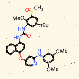 COc1cc(Nc2cc(Oc3ccc(NC(=O)Nc4cc(C(C)(C)C)cc([S+](C)[O-])c4OC)c4ccccc34)ccn2)cc(OC)c1